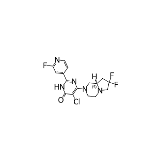 O=c1[nH]c(-c2ccnc(F)c2)nc(N2CCN3CC(F)(F)C[C@H]3C2)c1Cl